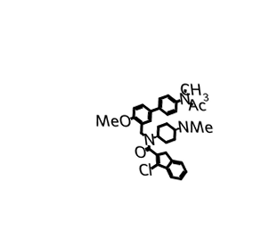 CN[C@H]1CC[C@@H](N(Cc2cc(-c3ccc(N(C)C(C)=O)cc3)ccc2OC)C(=O)C2=C(Cl)c3ccccc3C2)CC1